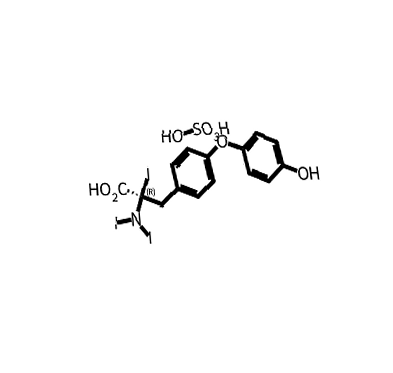 O=C(O)[C@](I)(Cc1ccc(Oc2ccc(O)cc2)cc1)N(I)I.O=S(=O)(O)O